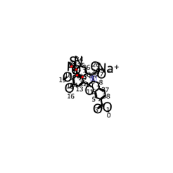 COC(=O)c1ccc(C/C(C(=O)c2cc(OC)c(OC)c(OC)c2)=C(\C(=O)[O-])c2ccc3nsnc3c2)cc1.[Na+]